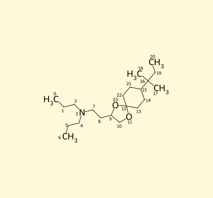 CCCN(CCC)CCC1COC2(CCC(C(C)(C)CC)CC2)O1